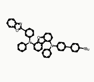 CC(C)(C)c1ccc(-c2ccc(N(c3ccccc3)c3cccc4oc5c(N(c6ccccc6)c6cccc(-c7nc8ccccc8o7)c6)cccc5c34)cc2)cc1